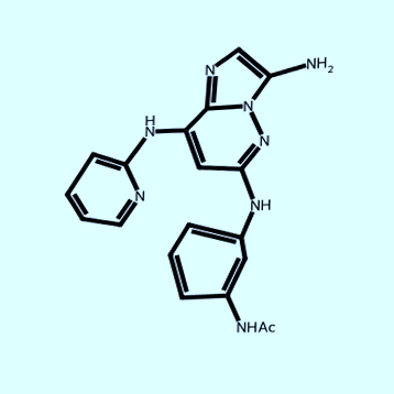 CC(=O)Nc1cccc(Nc2cc(Nc3ccccn3)c3ncc(N)n3n2)c1